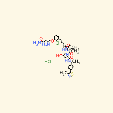 Cc1ncsc1-c1ccc(C(C)NC(=O)[C@@H]2C[C@H](O)CN2C(=O)C(NC(=O)CCCCc2cccc(OCC(N)CCC(N)=O)c2Cl)C(C)(C)C)cc1.Cl